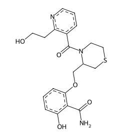 NC(=O)c1c(O)cccc1OCC1CSCCN1C(=O)c1cccnc1CCO